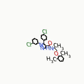 Cc1cccc(C)c1OCC(C)NC(=O)c1cnn(-c2cccc(Cl)c2)c1-c1ccc(Cl)cc1